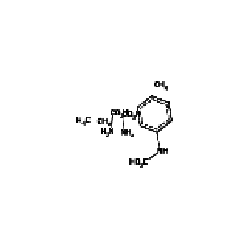 C.C.C.NC(=O)O.NC(=O)O.O=C(O)Nc1ccccc1